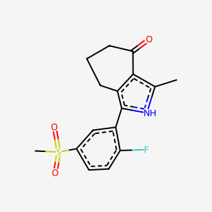 Cc1[nH]c(-c2cc(S(C)(=O)=O)ccc2F)c2c1C(=O)CCC2